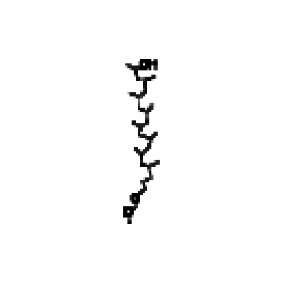 COCOCCCC(C)CC(C)CC(C)CC(C)CC(C)CC(C)CC(C)CC(C)O